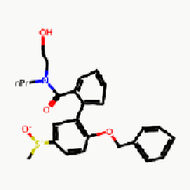 CCCN(CCO)C(=O)c1ccccc1-c1cc([S+](C)[O-])ccc1OCc1ccccc1